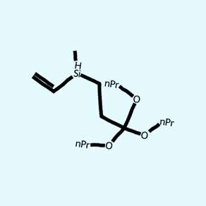 C=C[SiH](C)CCC(OCCC)(OCCC)OCCC